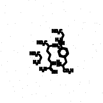 N=C(N)NCCCC(N)C(=O)O.NC(Cc1ccc(O)cc1)C(=O)O.NCC(=O)O.NCC(=O)O